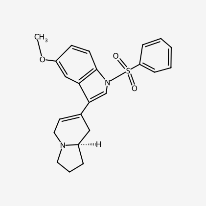 COc1ccc2c(c1)c(C1=CCN3CCC[C@@H]3C1)cn2S(=O)(=O)c1ccccc1